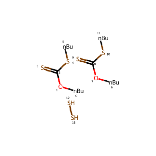 CCCCOC(=S)SCCCC.CCCCOC(=S)SCCCC.SS